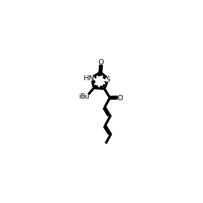 CC=CC=CC(=O)c1sc(=O)[nH]c1C(C)CC